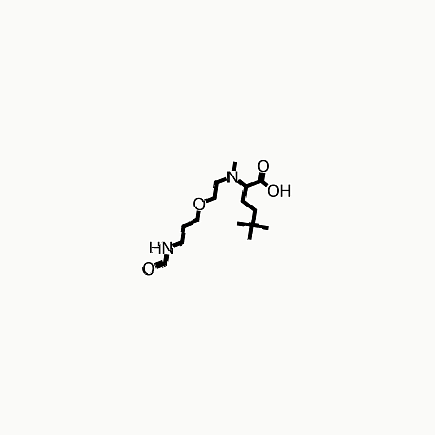 CN(CCOCCCNC=O)C(CCC(C)(C)C)C(=O)O